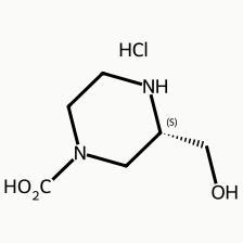 Cl.O=C(O)N1CCN[C@H](CO)C1